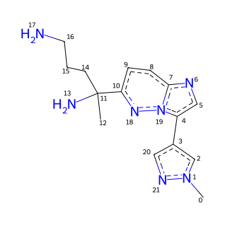 Cn1cc(-c2cnc3ccc(C(C)(N)CCCN)nn23)cn1